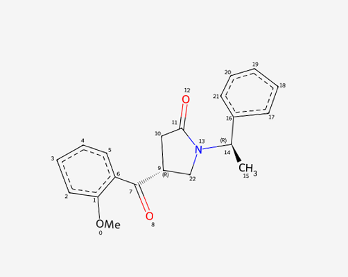 COc1ccccc1C(=O)[C@@H]1CC(=O)N([C@H](C)c2ccccc2)C1